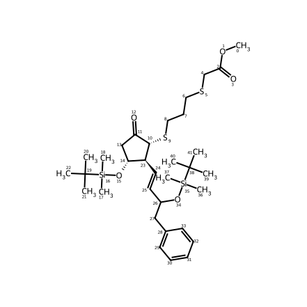 COC(=O)CSCCCS[C@H]1C(=O)C[C@@H](O[Si](C)(C)C(C)(C)C)[C@@H]1C=CC(Cc1ccccc1)O[Si](C)(C)C(C)(C)C